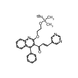 CC(C)(C)[Si](C)(C)OCCOc1nc2ccccc2c(-c2ccccc2)c1C(=O)/C=C/c1cncnc1